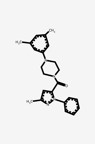 Cc1cc(C)cc(N2CCN(C(=O)c3cc(C)nn3-c3ccccc3)CC2)c1